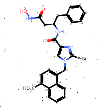 CCCCc1nc(C(=O)N[C@@H](CC(=O)NO)Cc2ccccc2)cn1Cc1ccc(C(=O)O)c2ccccc12